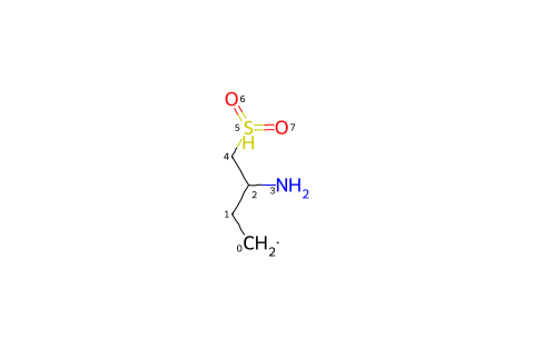 [CH2]CC(N)C[SH](=O)=O